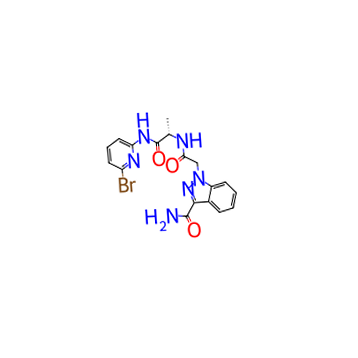 C[C@H](NC(=O)Cn1nc(C(N)=O)c2ccccc21)C(=O)Nc1cccc(Br)n1